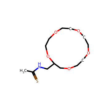 CC(=S)NCC1COCCOCCOCCOCCO1